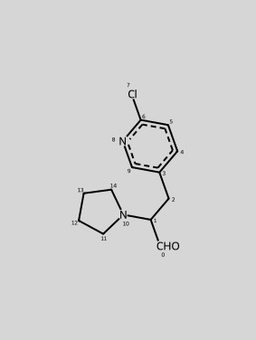 O=CC(Cc1ccc(Cl)nc1)N1CCCC1